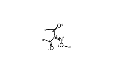 CON=C(C(C)=O)C(C)=O